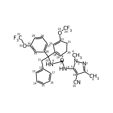 Cc1nn(C)c(NC(=O)NC(Cc2ccccc2)(C2=CCCC(OC(F)(F)F)=C2)c2cccc(OC(F)(F)F)c2)c1C#N